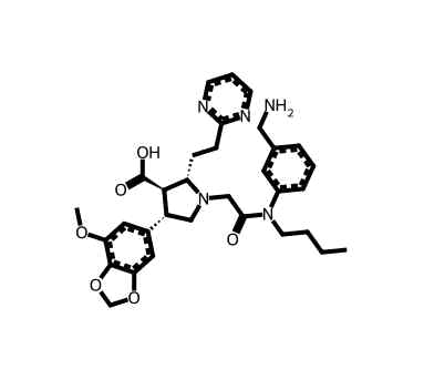 CCCCN(C(=O)CN1C[C@H](c2cc(OC)c3c(c2)OCO3)[C@@H](C(=O)O)[C@@H]1CCc1ncccn1)c1cccc(CN)c1